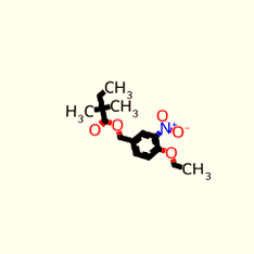 CCOc1ccc(COC(=O)C(C)(C)CC)cc1[N+](=O)[O-]